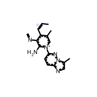 C=Nc1c(/C=C\C)c(C)c[n+](-c2ccc3ncc(C)n3n2)c1N